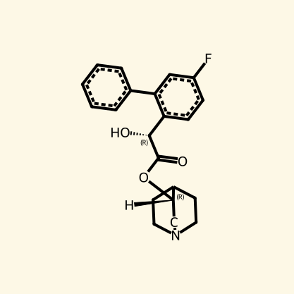 O=C(O[C@H]1CN2CCC1CC2)[C@H](O)c1ccc(F)cc1-c1ccccc1